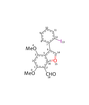 COc1cc(OC)c2c(-c3ccccc3I)coc2c1C=O